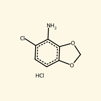 Cl.Nc1c(Cl)ccc2c1OCO2